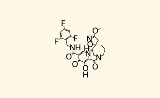 COC1=NO[C@@]2(CCCN3C[C@H]2n2cc(C(=O)NCc4c(F)cc(F)cc4F)c(=O)c(O)c2C3=O)C1